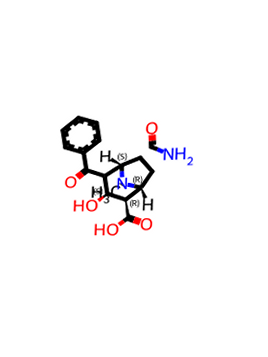 CN1[C@@H]2CC[C@H]1C(C(=O)c1ccccc1)[C@H](O)[C@@H]2C(=O)O.NC=O